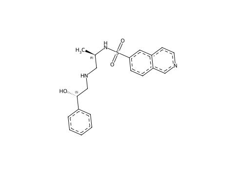 C[C@H](CNC[C@@H](O)c1ccccc1)NS(=O)(=O)c1ccc2cnccc2c1